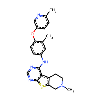 Cc1ccc(Oc2ccc(Nc3ncnc4sc5c(c34)CCN(C)C5)cc2C)cn1